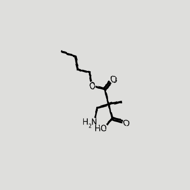 CCCCOC(=O)C(C)(CN)C(=O)O